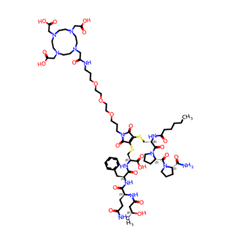 CCCCCC(=O)N[C@@H](CSC1=C(SC[C@H](NC(=O)[C@H](Cc2ccccc2)NC(=O)[C@H](CCC(N)=O)NC(=O)C[C@@H](C)O)C(=O)O)C(=O)N(CCCOCCOCCOCCCNC(=O)CN2CCN(CC(=O)O)CCN(CC(=O)O)CCN(CC(=O)O)CC2)C1=O)C(=O)N1CCC[C@H]1C(=O)N1CCC[C@H]1C(N)=O